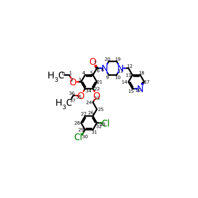 CCOc1cc(C(=O)N2CCN(Cc3ccncc3)CC2)cc(OCCc2ccc(Cl)cc2Cl)c1OCC